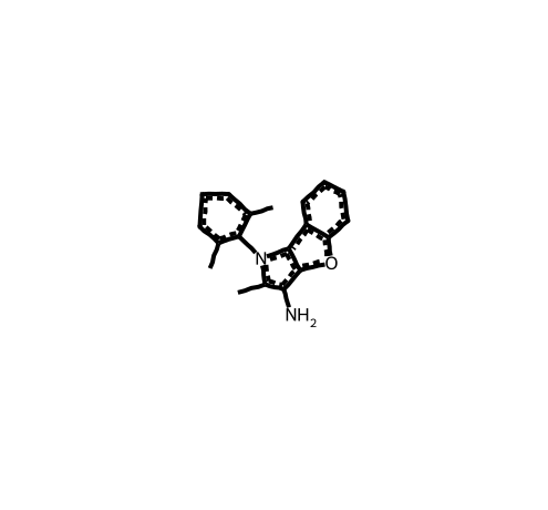 Cc1cccc(C)c1-n1c(C)c(N)c2oc3ccccc3c21